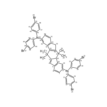 CC1(C)C2=Cc3ccc(N(c4ccc(Br)cc4)c4ccc(Br)cc4)cc3C2C(C)(C)C2=C1c1cc(N(c3ccc(Br)cc3)c3ccc(Br)cc3)ccc1C2